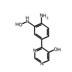 Nc1ccc(-c2ncncc2O)cc1NO